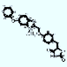 Cn1c(COc2ccc(CC3SC(=O)NC3=O)cc2)nc2ccc(Oc3cccnc3)cc21